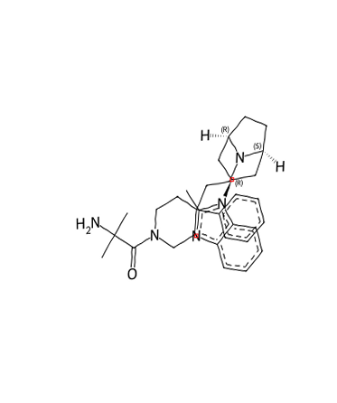 Cc1nc2ccccc2n1[C@H]1C[C@H]2CC[C@@H](C1)N2CCC1(c2ccccc2)CCN(C(=O)C(C)(C)N)CC1